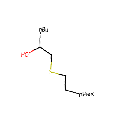 CCCCCCCCSCC(O)CCCC